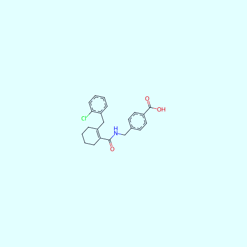 O=C(NCc1ccc(C(=O)O)cc1)C1=C(Cc2ccccc2Cl)CCCC1